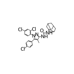 Cc1c(NC(=O)NC23CC4CC(CC(C4)C2)C3)nn(-c2ccc(Cl)cc2Cl)c1-c1ccc(Cl)cc1